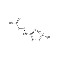 O=C(O)CCNc1ccc(O)cc1